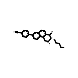 CCCCC[C@H]1C(F)c2ccc3cc(-c4ccc(C#N)cc4)ccc3c2C[C@@H]1F